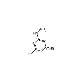 CCc1cc(Br)nc(NN)c1